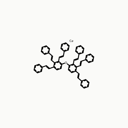 C(=Cc1ccc(Oc2ccc(C=Cc3ccccc3)c(C=Cc3ccccc3)c2C=Cc2ccccc2)c(C=Cc2ccccc2)c1C=Cc1ccccc1)c1ccccc1.[Ca]